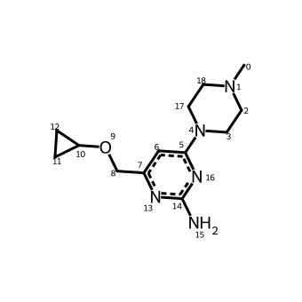 CN1CCN(c2cc(COC3CC3)nc(N)n2)CC1